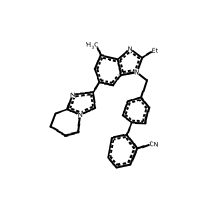 CCc1nc2c(C)cc(-c3cn4c(n3)CCCC4)cc2n1Cc1ccc(-c2ccccc2C#N)cc1